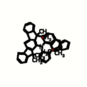 CC1(C)c2ccccc2-c2cccc(N(c3ccccc3-c3ccccc3)c3c4c(cc5c3C(C)(C)c3ccccc3-5)-c3ccccc3C4(C)C)c21